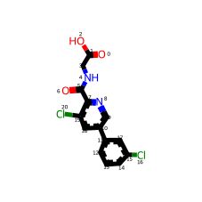 O=C(O)CNC(=O)c1ncc(-c2cccc(Cl)c2)cc1Cl